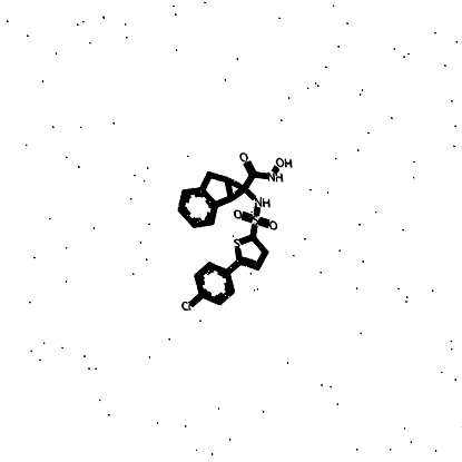 O=C(NO)C1(NS(=O)(=O)C2CC=C(c3ccc(Cl)cc3)S2)C2Cc3ccccc3C21